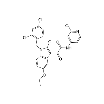 CCOc1ccc2c(c1)c(C(=O)C(=O)Nc1ccnc(Cl)c1)c(Cl)n2Cc1ccc(Cl)cc1Cl